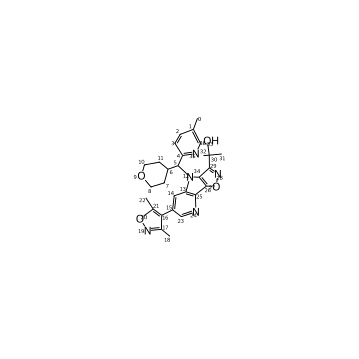 Cc1ccc(C(C2CCOCC2)n2c3cc(-c4c(C)noc4C)cnc3c3onc(C(C)(C)O)c32)nc1